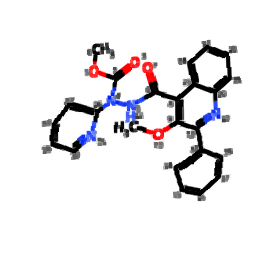 COC(=O)N(NC(=O)c1c(OC)c(-c2ccccc2)nc2ccccc12)c1ccccn1